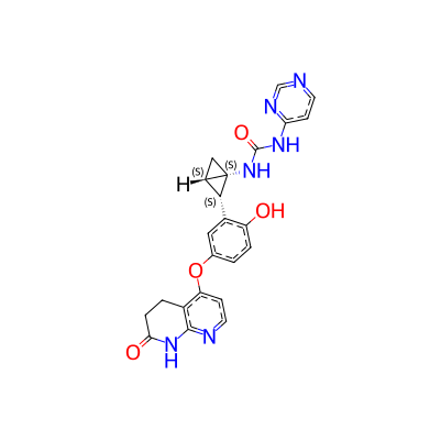 O=C1CCc2c(Oc3ccc(O)c([C@@H]4[C@@H]5C[C@@]45NC(=O)Nc4ccncn4)c3)ccnc2N1